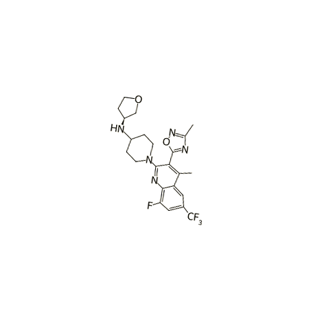 Cc1noc(-c2c(N3CCC(N[C@H]4CCOC4)CC3)nc3c(F)cc(C(F)(F)F)cc3c2C)n1